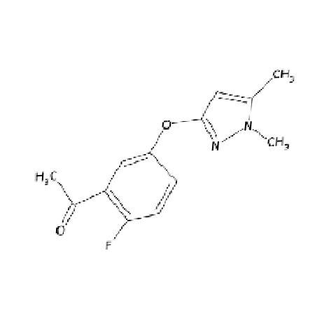 CC(=O)c1cc(Oc2cc(C)n(C)n2)ccc1F